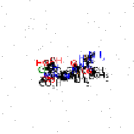 C[C@@H]1S[C@@H]2[C@H](NC(=O)/C(=N\OC(C)(C)C(=O)O)c3csc(N)n3)C(=O)N2C(C(=O)O)=C1C[N+]12CCC(CNC(=O)/C(=N\OCC(=O)O)c3ccc(O)c(O)c3Cl)(CC1)C2